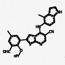 CCCOc1c(C=O)cc(C)cc1-c1cc2c(Nc3ccc4[nH]ccc4c3C)c(C#N)cnc2s1